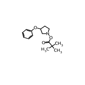 CC(C)(C)C(=O)ON1CCC(Oc2ccccc2)C1